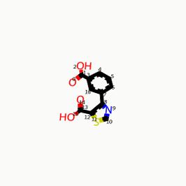 O=C(O)c1cccc(-c2ncsc2C(=O)O)c1